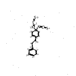 S=C=NC1(N=C=S)C=CC(CCc2ccccc2)=CC1